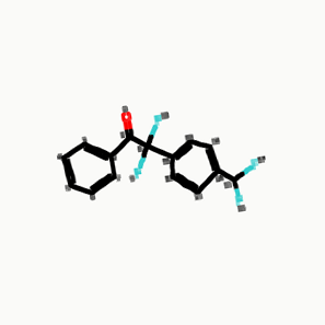 O=C(c1ccccc1)C(F)(F)c1ccc(C(F)F)cc1